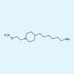 CC(C)(C)CCCCCCC1CCN(CCO[N+](=O)[O-])CC1